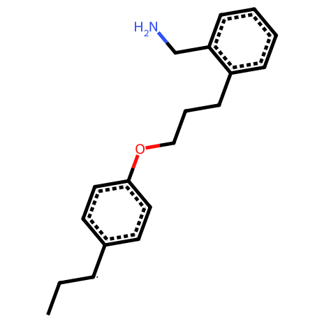 CC[CH]c1ccc(OCCCc2ccccc2CN)cc1